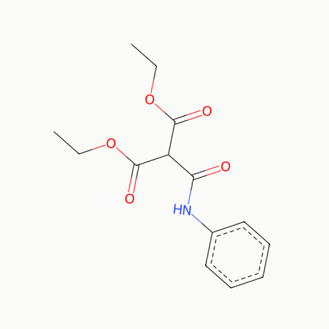 CCOC(=O)C(C(=O)Nc1ccccc1)C(=O)OCC